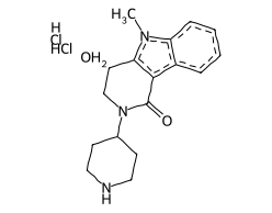 Cl.Cl.Cn1c2c(c3ccccc31)C(=O)N(C1CCNCC1)CC2.O